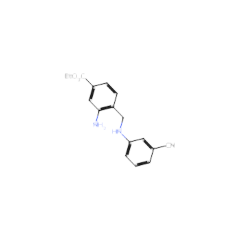 CCOC(=O)c1ccc(CNc2cccc(C#N)c2)c(N)c1